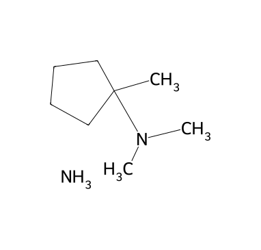 CN(C)C1(C)CCCC1.N